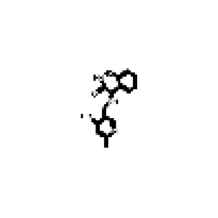 Cc1cc(O)c(CNC(C([NH])=O)c2ccccc2O)cn1